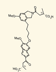 COc1cc(CCCCOc2cc3cc(C(=O)C[C@H](C)C(=O)O)sc3cc2OC)c2c(c1)CN(C(=O)C[C@H](C)C(=O)O)C2